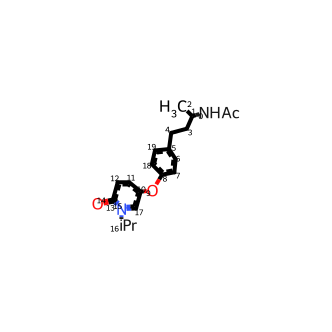 CC(=O)NC(C)CCc1ccc(Oc2ccc(=O)n(C(C)C)c2)cc1